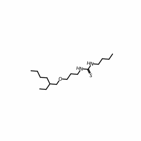 CCCCNC(=S)NCCCOCC(CC)CCCC